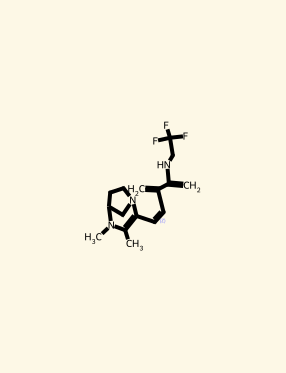 C=C(/C=C\C1=C(C)N(C)C2CCN1C2)C(=C)NCC(F)(F)F